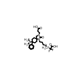 COCCCN1C(=O)N(CCC(=O)O)CC12CCC(c1ccccc1)(N(C)C)CC2.O=C(O)C(F)(F)F